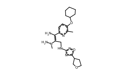 Cc1nc(/C(N)=C(\CNc2noc(C3CCOC3)n2)N(C)N)ccc1OC1CCCCC1